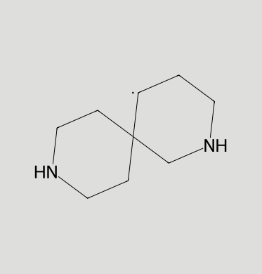 [CH]1CCNCC12CCNCC2